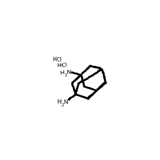 Cl.Cl.NC12CC3CC(C1)CC(N)(C3)C2